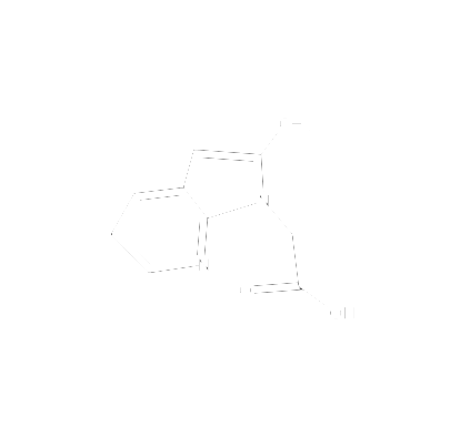 Cc1cc2c[c]cnc2n1CC(=O)O